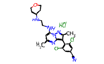 Cc1cc(NCCNC2CCOCC2)n2nc(C)c(-c3c(Cl)cc(C#N)cc3Cl)c2n1.Cl